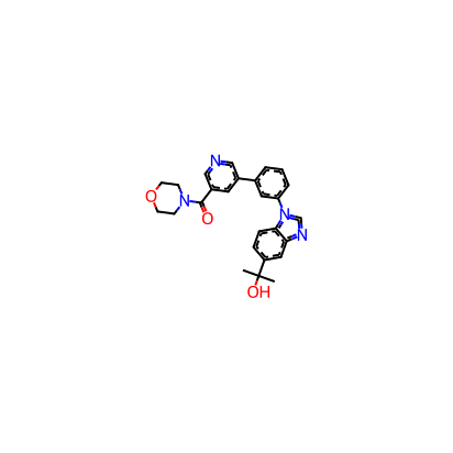 CC(C)(O)c1ccc2c(c1)ncn2-c1cccc(-c2cncc(C(=O)N3CCOCC3)c2)c1